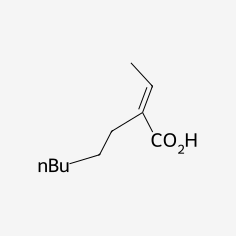 C/C=C(\CCCCCC)C(=O)O